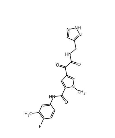 Cc1cc(NC(=O)c2cc(C(=O)C(=O)NCc3cn[nH]n3)cn2C)ccc1F